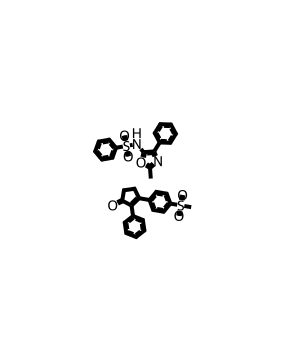 CS(=O)(=O)c1ccc(C2=C(c3ccccc3)C(=O)CC2)cc1.Cc1nc(-c2ccccc2)c(NS(=O)(=O)c2ccccc2)o1